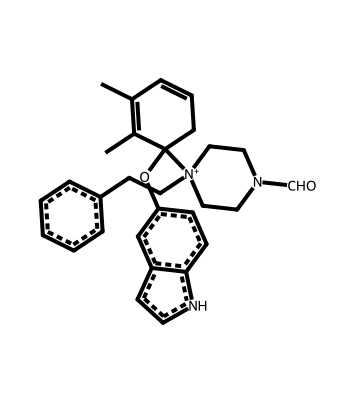 CC1=C(C)C(Oc2ccc3[nH]ccc3c2)([N+]2(CCc3ccccc3)CCN(C=O)CC2)CC=C1